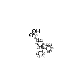 O=C(O)CCBr.c1ccc(P(c2ccccc2)c2ccccc2)cc1